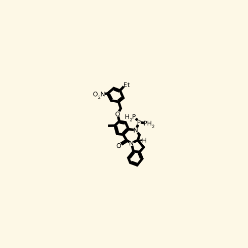 CCc1cc(COc2cc3c(cc2C)C(=O)N2c4ccccc4C[C@H]2CN3P(P)P)cc([N+](=O)[O-])c1